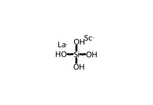 O[Si](O)(O)O.[La].[Sc]